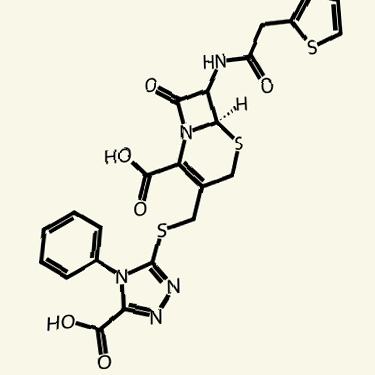 O=C(Cc1cccs1)NC1C(=O)N2C(C(=O)O)=C(CSc3nnc(C(=O)O)n3-c3ccccc3)CS[C@H]12